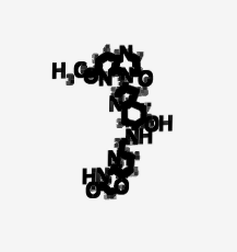 COc1ccc2ncc(=O)n(-c3cnc4c(c3)CC(O)C(NCc3ccc5c(n3)NC(=O)CO5)C4)c2n1